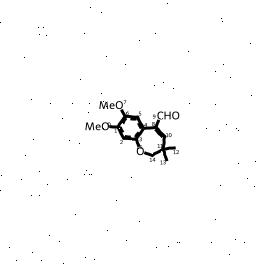 COc1cc2c(cc1OC)C(C=O)=CC(C)(C)CO2